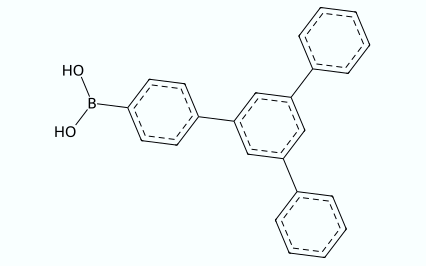 OB(O)c1ccc(-c2cc(-c3ccccc3)cc(-c3ccccc3)c2)cc1